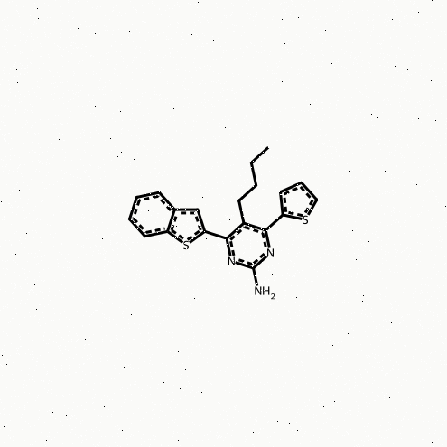 CCCCc1c(-c2cccs2)nc(N)nc1-c1cc2ccccc2s1